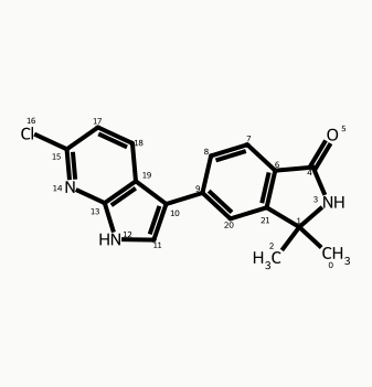 CC1(C)NC(=O)c2ccc(-c3c[nH]c4nc(Cl)ccc34)cc21